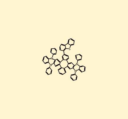 c1ccc(-n2c3ccccc3n(-c3ccccc3)c3cc4c5ccc(-c6cccc7c6sc6ccccc67)cc5c5cc6c(cc5c5ccccc5c4cc32)n(-c2ccccc2)c2ccccc2n6-c2ccccc2)cc1